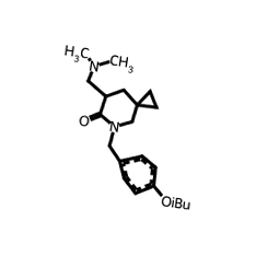 CC(C)COc1ccc(CN2CC3(CC3)CC(CN(C)C)C2=O)cc1